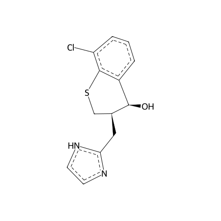 O[C@@H]1c2cccc(Cl)c2SC[C@@H]1Cc1ncc[nH]1